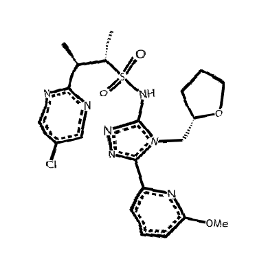 COc1cccc(-c2nnc(NS(=O)(=O)[C@@H](C)[C@H](C)c3ncc(Cl)cn3)n2C[C@@H]2CCCO2)n1